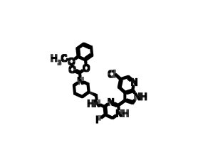 COc1ccccc1OC(=O)N1CCC[C@H](CNC2=C(F)CNC(c3c[nH]c4ncc(Cl)cc34)=N2)C1